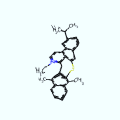 Cc1c2c(c(C)c3ccccc13)-c1c3c(cc4ccc(C(C)C)cc4c3cc[n+]1C)S2